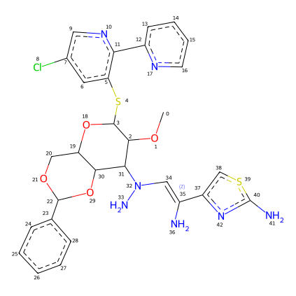 COC1C(Sc2cc(Cl)cnc2-c2ccccn2)OC2COC(c3ccccc3)OC2C1N(N)/C=C(\N)c1csc(N)n1